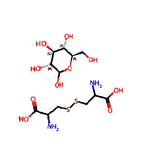 NC(CSSCC(N)C(=O)O)C(=O)O.OC[C@H]1OC(O)[C@H](O)[C@@H](O)[C@@H]1O